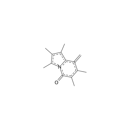 C=c1c(C)c(C)c(=O)n2c(C)c(C)c(C)c12